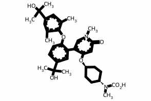 Cc1cc(C(C)(C)O)cc(C)c1Oc1ccc(C(C)(C)O)cc1-c1cn(C)c(=O)cc1O[C@H]1CC[C@H](N(C)C(=O)O)CC1